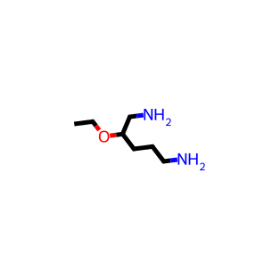 CCOC(CN)CCCN